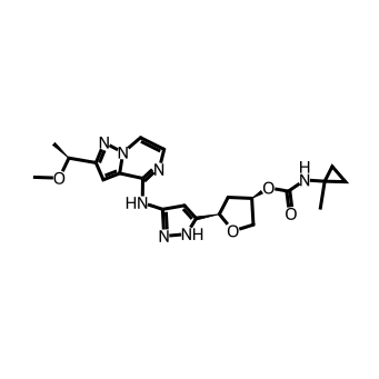 CO[C@@H](C)c1cc2c(Nc3cc([C@H]4C[C@@H](OC(=O)NC5(C)CC5)CO4)[nH]n3)nccn2n1